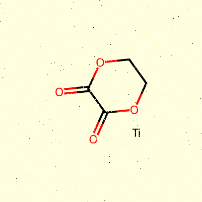 O=C1OCCOC1=O.[Ti]